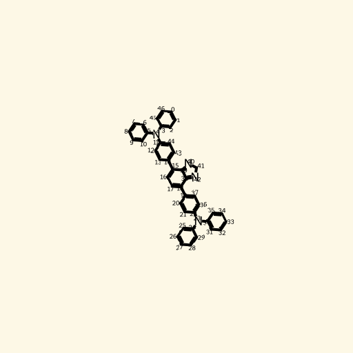 c1ccc(N(c2ccccc2)c2ccc(-c3ccc(-c4ccc(N(c5ccccc5)c5ccccc5)cc4)c4c3=NCN=4)cc2)cc1